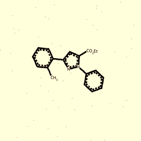 CCOC(=O)c1cc(-c2ccccc2C)nn1-c1ccccc1